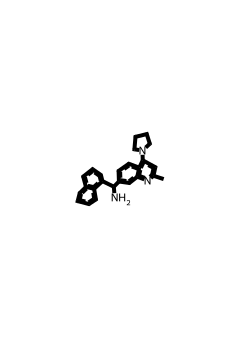 Cc1cc(N2CCCC2)c2ccc(C(N)c3cccc4ccccc34)cc2n1